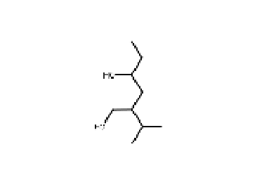 CCC(O)CC(CO)C(C)C